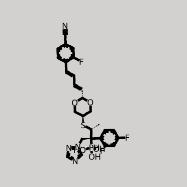 C[C@@H](S[C@H]1CO[C@H](C=CC=Cc2ccc(C#N)cc2F)OC1)[C@](Cn1cncn1)(c1ccc(F)cc1F)[PH](O)(O)O